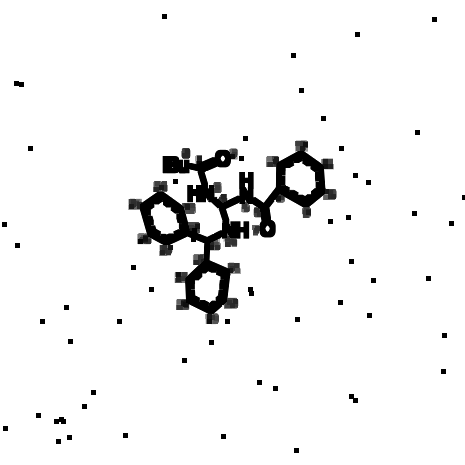 CCC(C)C(=O)NC(NC(=O)c1ccccc1)NC(c1ccccc1)c1ccccc1